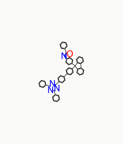 c1ccc(-c2nc(-c3ccccc3)nc(-c3ccc(-c4ccc(C5(c6ccc7nc(-c8ccccc8)oc7c6)c6ccccc6-c6ccccc65)cc4)cc3)n2)cc1